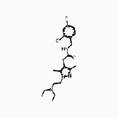 CCN(CC)CCn1nc(C)c(CC(=O)NCc2ccc(F)cc2Cl)c1C